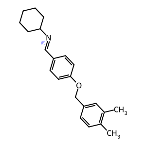 Cc1ccc(COc2ccc(/C=N/C3CCCCC3)cc2)cc1C